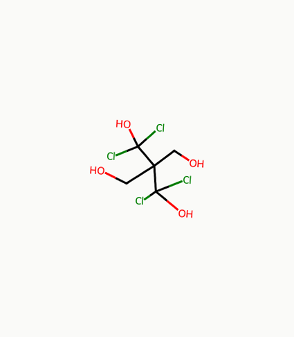 OCC(CO)(C(O)(Cl)Cl)C(O)(Cl)Cl